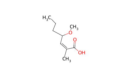 CCCC(C=C(C)C(=O)O)OC